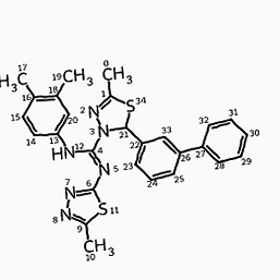 CC1=NN(/C(=N/c2nnc(C)s2)Nc2ccc(C)c(C)c2)C(c2cccc(-c3ccccc3)c2)S1